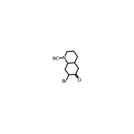 N#CN1CCCC2CC(=O)C(Br)CC21